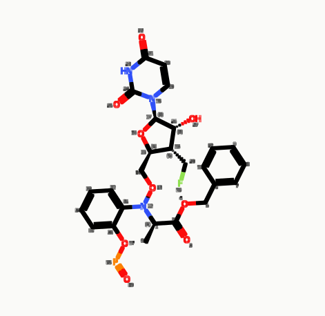 C[C@H](C(=O)OCc1ccccc1)N(OC[C@H]1O[C@@H](n2ccc(=O)[nH]c2=O)[C@H](O)[C@@H]1CF)c1ccccc1OP=O